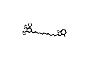 COc1cc(C=CCCC=CC=CCCCc2cc3c(C)cccc3s2)cc(OC)c1OC